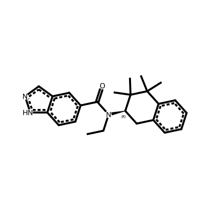 CCN(C(=O)c1ccc2[nH]ncc2c1)[C@@H]1Cc2ccccc2C(C)(C)C1(C)C